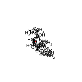 COCC[C@H]1[C@@H](O)[C@H](n2c[n+](C)c3c(=O)[nH]c(N)nc32)O[C@@H]1COP(=O)(O)OP(=O)(O)CP(=O)(O)OC[C@H]1O[C@@H](n2cnc3c(N)ncnc32)[C@H](OC)[C@@H]1P(=O)([O-])OC[C@H]1O[C@@H](n2cnc3c(=O)[nH]c(N)nc32)[C@H](O)[C@@H]1O